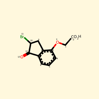 O=C(O)COc1cccc2c1CC(Br)C2=O